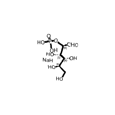 O=C[C@H](OP(=O)(O)O)[C@@H](O)[C@H](O)[C@H](O)CO.[NaH]